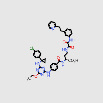 O=C(NCC[C@H](NC(=O)c1ccc(Nc2nc(NC3(c4ccc(Cl)cc4)CC3)nc(OCC(F)(F)F)n2)cc1)C(=O)O)C(=O)Nc1cccc(CCc2ccccn2)c1